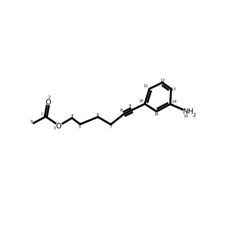 CC(=O)OCCCCC#Cc1cccc(N)c1